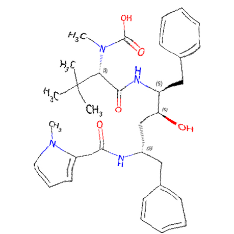 CN(C(=O)O)[C@H](C(=O)N[C@@H](Cc1ccccc1)[C@@H](O)C[C@H](Cc1ccccc1)NC(=O)c1cccn1C)C(C)(C)C